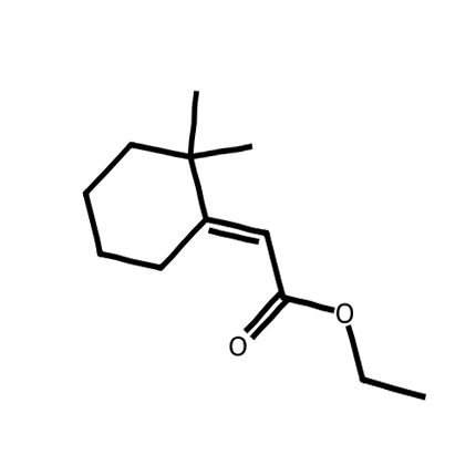 CCOC(=O)C=C1CCCCC1(C)C